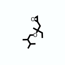 CCC(C)(CC1CO1)OCC(C)C(C)C